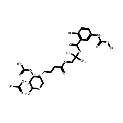 CCCC(=O)O[C@H]1[C@H](CCCC(=O)OCC(C)(C)OC(=O)c2cc(NC(=O)OC(C)(C)C)ccc2O)COC(O)[C@@H]1OC(=O)CCC